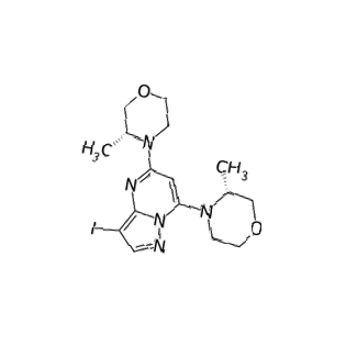 C[C@@H]1COCCN1c1cc(N2CCOC[C@H]2C)n2ncc(I)c2n1